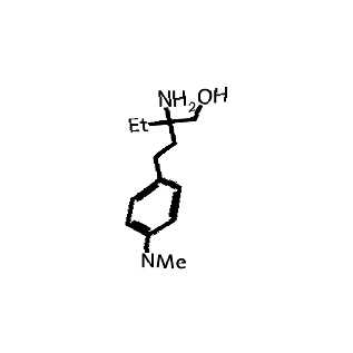 CCC(N)(CO)CCc1ccc(NC)cc1